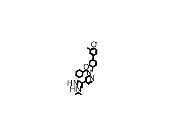 COc1ccc(C2CCC(CN(C(=O)C3CCCCC3)c3cc(/C(C=N)=C/NC(C)C)ccn3)CC2)cc1C